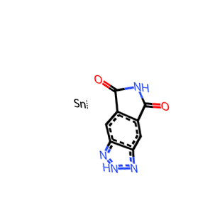 O=C1NC(=O)c2cc3n[nH]nc3cc21.[Sn]